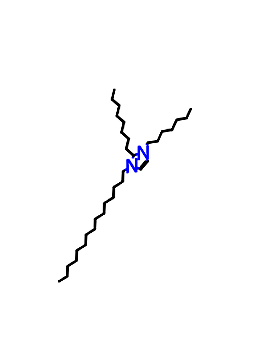 CCCCCCCCCCCCCCCN1C=CN(CCCCCCC)C1CCCCCCCC